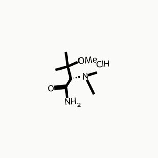 COC(C)(C)[C@@H](C(N)=O)N(C)C.Cl